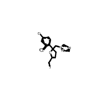 Clc1ccc(C2(Cn3cncn3)CCC(CI)O2)c(Cl)c1